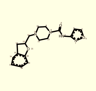 O=C(Nc1ccon1)N1CCN(CC2Cc3ccccc3O2)CC1